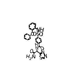 NC(=O)C(NC(=O)c1ccc(S(=O)(=O)Nc2ccccc2Oc2ccccc2)cc1)c1nncs1